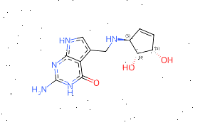 Nc1nc2[nH]cc(CN[C@H]3C=C[C@H](O)[C@@H]3O)c2c(=O)[nH]1